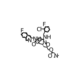 CN(C)CC(=O)OCC(=O)C[C@@H](COC(=O)Nc1cc2cc(F)ccc2cn1)N(C)C(=O)NCc1cccc(F)c1Cl